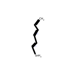 C=C/C=C/C=[CH]/[SnH3]